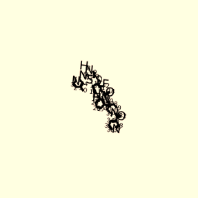 Cc1ccnc(Nc2ncc(Sc3ccnc(C(=O)NCC4(c5ccccc5)CCN(C(=O)c5cccnc5)CC4)c3F)s2)c1